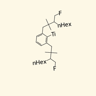 CCCCCCC(CF)C(C)(C)Cc1cccc(CC(C)(C)C(CF)CCCCCC)[c]1[Ti]